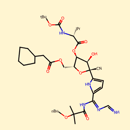 CCCCOC(C)(C)C(=O)N/C(=N/C=N)c1ccc([C@]2(C#N)O[C@H](COC(=O)CC3CCCCC3)[C@@H](OC(=O)[C@H](NC(=O)OC(C)(C)C)C(C)C)[C@H]2O)[nH]1